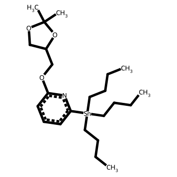 CCC[CH2][Sn]([CH2]CCC)([CH2]CCC)[c]1cccc(OCC2COC(C)(C)O2)n1